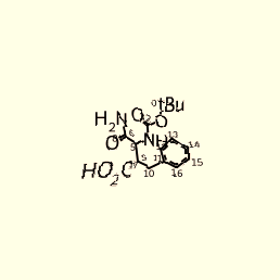 CC(C)(C)OC(=O)NC(C(N)=O)[C@H](Cc1ccccc1)C(=O)O